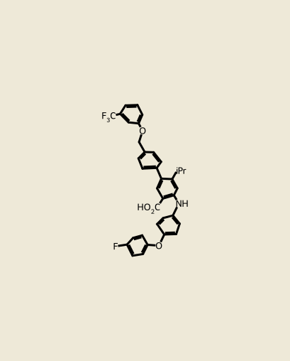 CC(C)c1cc(Nc2ccc(Oc3ccc(F)cc3)cc2)c(C(=O)O)cc1-c1ccc(COc2cccc(C(F)(F)F)c2)cc1